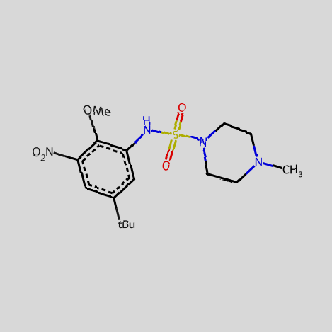 COc1c(NS(=O)(=O)N2CCN(C)CC2)cc(C(C)(C)C)cc1[N+](=O)[O-]